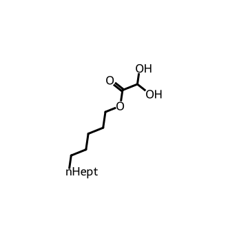 CCCCCCCCCCCCOC(=O)C(O)O